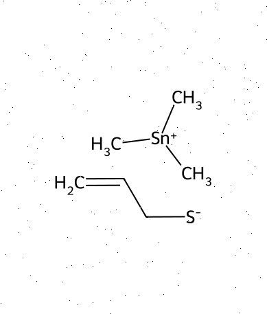 C=CC[S-].[CH3][Sn+]([CH3])[CH3]